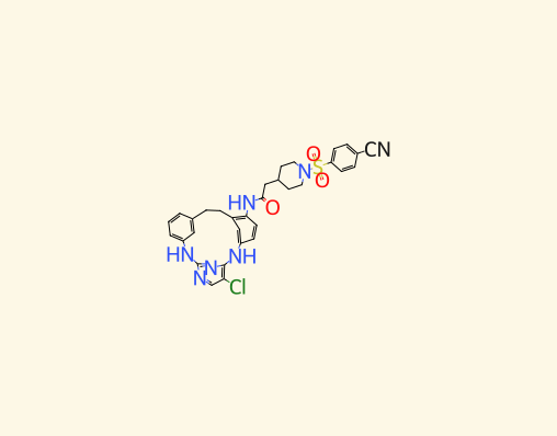 N#Cc1ccc(S(=O)(=O)N2CCC(CC(=O)Nc3ccc4cc3CCc3cccc(c3)Nc3ncc(Cl)c(n3)N4)CC2)cc1